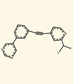 FC(F)c1cc(C#Cc2cccc(-c3cncnc3)c2)ccn1